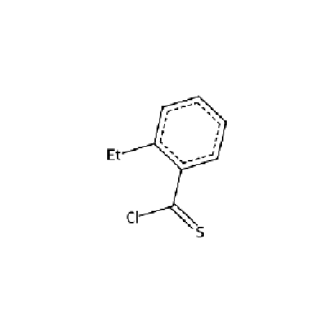 CCc1ccccc1C(=S)Cl